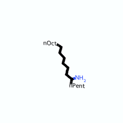 CCCCCCCCCCCCCCC(N)CCCCC